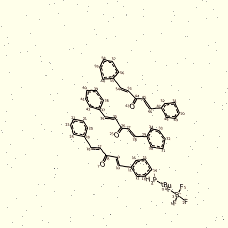 CC(C)(C)P.F[B-](F)(F)F.O=C(C=Cc1ccccc1)C=Cc1ccccc1.O=C(C=Cc1ccccc1)C=Cc1ccccc1.O=C(C=Cc1ccccc1)C=Cc1ccccc1